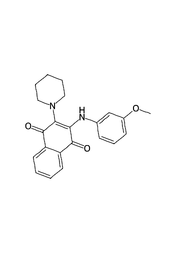 COc1cccc(NC2=C(N3CCCCC3)C(=O)c3ccccc3C2=O)c1